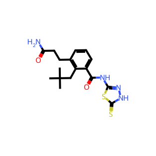 CC(C)(C)Cc1c(CCC(N)=O)cccc1C(=O)Nc1n[nH]c(=S)s1